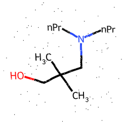 CCCN(CCC)CC(C)(C)CO